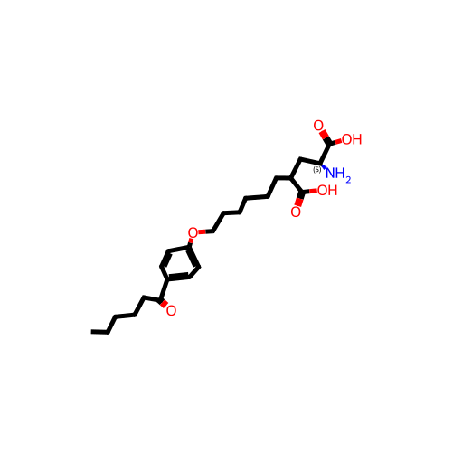 CCCCCC(=O)c1ccc(OCCCCCCC(C[C@H](N)C(=O)O)C(=O)O)cc1